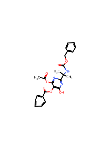 CC(=O)Oc1nc(C(C)(C)NC(=O)OCc2ccccc2)nc(O)c1OC(=O)c1ccccc1